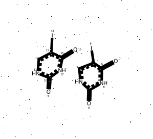 O=c1[nH]cc(I)c(=O)[nH]1.O=c1[nH]cc(I)c(=O)[nH]1